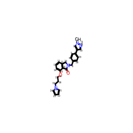 Cn1cc(-c2ccc(CN3Cc4cccc(OCCCn5cccc5)c4C3=O)cc2)cn1